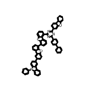 c1ccc(-c2ccc(-c3nc(-c4ccc5c(c4)oc4ccccc45)nc(-c4cccc5sc6c(-c7cccc8c7oc7ccc(-c9ccc%10c(c9)c9ccccc9n%10-c9ccccc9)cc78)cccc6c45)n3)cc2)cc1